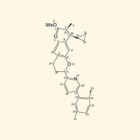 COC(=O)[C@@H](C)[C@H](c1ccc2c(c1)OC(c1ccc(-c3cc(C)ccc3F)cn1)CC2)C1CC1